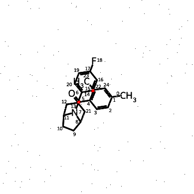 Cc1ccc(C(=O)N2C3CCC2CC(c2ccc(F)cc2)C3)c(C)c1